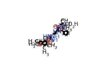 Cc1c(C)c(S(=O)(=O)NC(=N)NCCC[C@H](NC(=O)c2ccccc2)C(=O)NCC(C)N(C)C(=O)O)c(C)c2c1OC(C)(C)C2